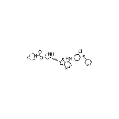 O=C(OC1CNC(C#Cc2cc3ncnc(Nc4ccc(Sc5ccccc5)c(Cl)c4)c3s2)C1)N1CCOCC1